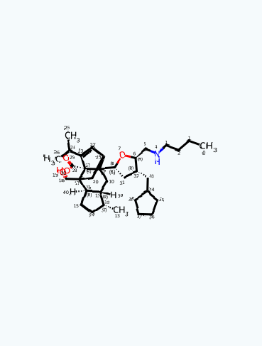 CCCCNC[C@@H]1O[C@@H](C23C[C@@H]4[C@H](C)CC[C@H]4C4(C=O)CC2C=C(C(C)C)[C@]43C(=O)O)C[C@H]1CC1CCCC1